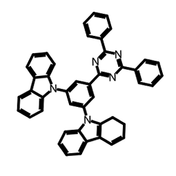 C1=Cc2c(n(-c3cc(-c4nc(-c5ccccc5)nc(-c5ccccc5)n4)cc(-n4c5ccccc5c5ccccc54)c3)c3ccccc23)CC1